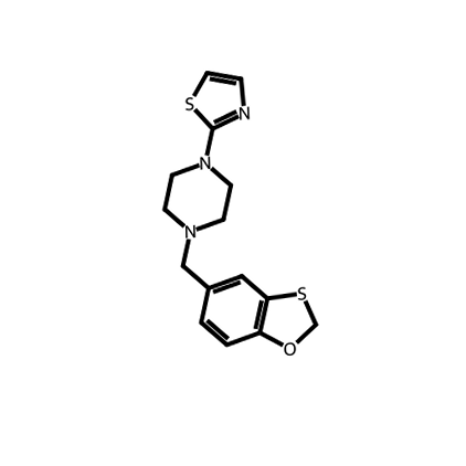 c1csc(N2CCN(Cc3ccc4c(c3)SCO4)CC2)n1